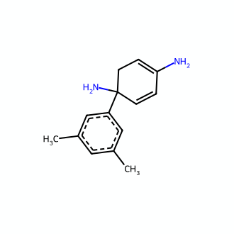 Cc1cc(C)cc(C2(N)C=CC(N)=CC2)c1